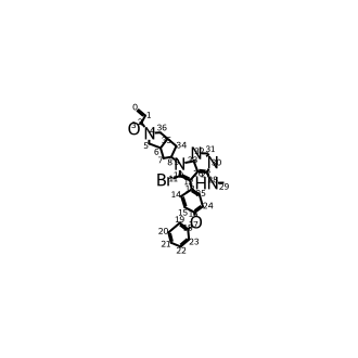 C=CC(=O)N1CC2CC(n3c(Br)c(-c4ccc(Oc5ccccc5)cc4)c4c(NC)ncnc43)CC2C1